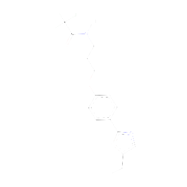 CCc1cnc(-c2ccc(OCCCN(C)C(=O)C(F)(F)F)cc2)s1